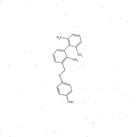 Cc1cccc(C)c1-c1cccc(COc2ccc(C=O)cc2)c1C